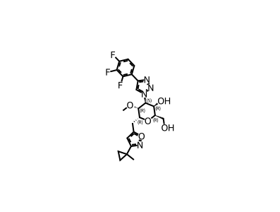 CO[C@@H]1[C@@H](n2cc(-c3ccc(F)c(F)c3F)nn2)[C@@H](O)[C@@H](CO)O[C@@H]1Cc1cc(C2(C)CC2)no1